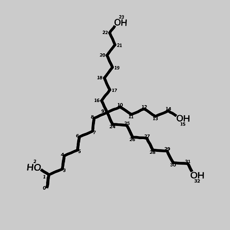 CC(O)CCCCCCC(CCCCCO)(CCCCCCCO)CCCCCCCCO